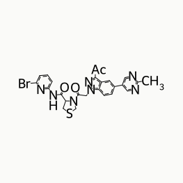 CC(=O)c1nn(CC(=O)N2CSCC2C(=O)Nc2cccc(Br)n2)c2ccc(-c3cnc(C)nc3)cc12